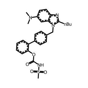 CCCCc1nc2ccc(N(C)C)cc2n1Cc1ccc(-c2ccccc2OC(=O)NS(C)(=O)=O)cc1